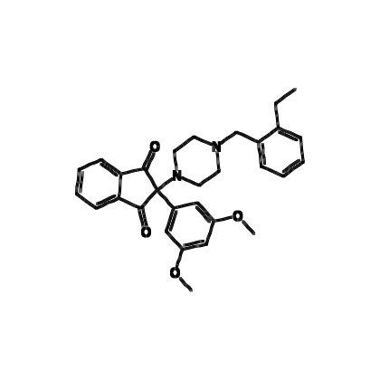 CCc1ccccc1CN1CCN(C2(c3cc(OC)cc(OC)c3)C(=O)c3ccccc3C2=O)CC1